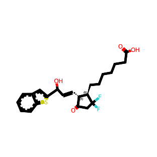 O=C(O)CCCCCC[C@@H]1[C@@H](C=CC(O)c2cc3ccccc3s2)C(=O)CC1(F)F